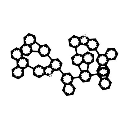 c1ccc2c(-c3ccc(-c4cc(-c5ccc(-c6ccc7c(c6)-c6cccc8cccc-7c68)c6c5oc5ccc(-c7cc8ccccc8c8ccccc78)cc56)cc5ccccc45)c4c3-c3cccc5c(-c6cccc7oc8ccc(-c9cc%10ccccc%10c%10ccccc9%10)cc8c67)ccc-4c35)cccc2c1